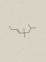 [CH2]C(C)CC(C)(C)C=CCC